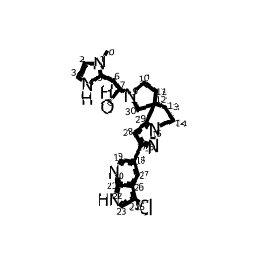 CN1C=CNC1CC(O)N1CCC2(CCn3nc(-c4cnc5[nH]cc(Cl)c5c4)cc32)C1